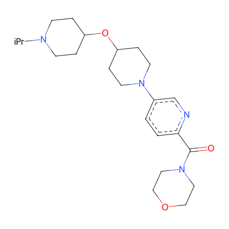 CC(C)N1CCC(OC2CCN(c3ccc(C(=O)N4CCOCC4)nc3)CC2)CC1